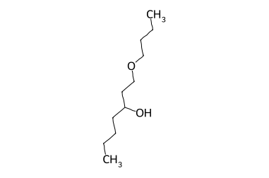 CCCCOCCC(O)CCCC